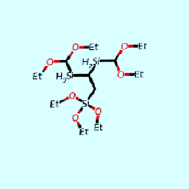 CCOC(OCC)[SiH2]C(C[Si](OCC)(OCC)OCC)[SiH2]C(OCC)OCC